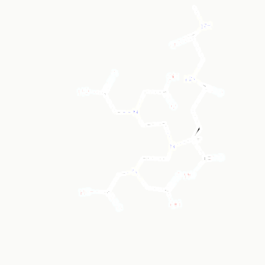 CNC(=O)CNC(=O)CC[C@@H](C(=O)O)N(CCN(CC(=O)O)CC(=O)O)CCN(CC(=O)O)CC(=O)O